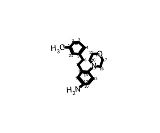 Cc1cccc(CCc2cc(N)ccc2N2CCOCC2)c1